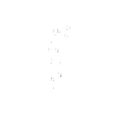 CCC(=O)N[C@H]1CC[C@@H](C(=O)N(C)c2ccc(-c3cn4ccccc4n3)cc2)C1